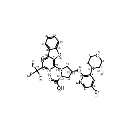 C[C@H]1COCCN1c1cc(Br)cnc1O[C@H]1C[C@@H](C(=O)O)N(c2nc(C(F)(F)F)nc3c2oc2ccccc23)C1